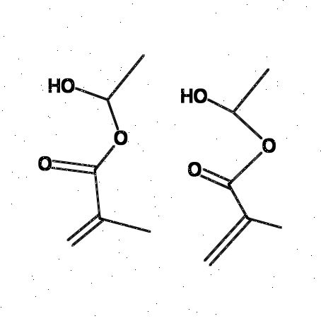 C=C(C)C(=O)OC(C)O.C=C(C)C(=O)OC(C)O